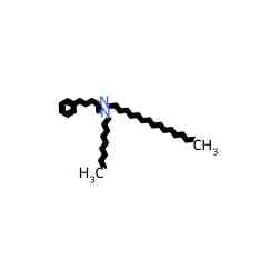 CCCCCCCCCCCCCCCCc1nc(CCCc2ccccc2)cn1CCCCCCCCCC